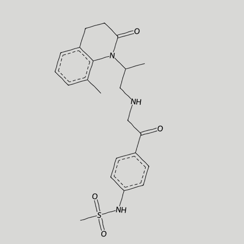 Cc1cccc2c1N(C(C)CNCC(=O)c1ccc(NS(C)(=O)=O)cc1)C(=O)CC2